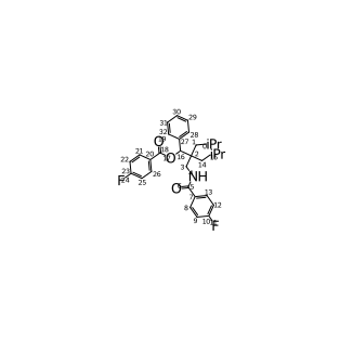 CC(C)CC(CNC(=O)c1ccc(F)cc1)(CC(C)C)C(OC(=O)c1ccc(F)cc1)c1ccccc1